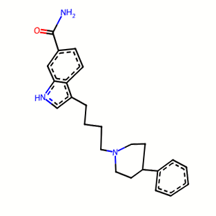 NC(=O)c1ccc2c(CCCCN3CCC(c4ccccc4)CC3)c[nH]c2c1